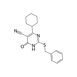 N#Cc1c(C2CCCCC2)nc(SCc2ccccc2)[nH]c1=O